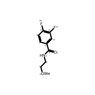 COCCNC(=O)c1ccc(F)c(F)c1